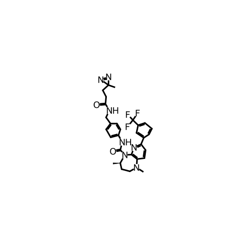 C[C@@H]1CCN(C)c2ccc(-c3cccc(C(F)(F)F)c3)nc2N1C(=O)Nc1ccc(CNC(=O)CCC2(C)N=N2)cc1